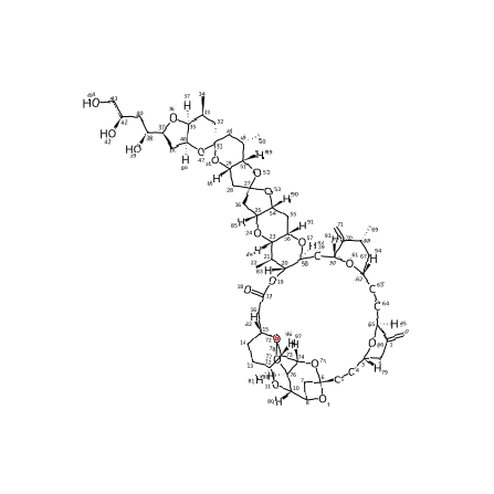 C=C1C[C@@H]2CC[C@]34CC(O3)[C@@H]3O[C@H]5CC[C@H](CC(=O)O[C@@H]6[C@@H](C)[C@@H]7O[C@@H]8C[C@]9(C[C@@H]%10O[C@]%11(C[C@H](C)[C@@H]%12O[C@H]([C@@H](O)C[C@@H](O)CO)C[C@@H]%12O%11)C[C@H](C)[C@@H]%10O9)O[C@@H]8C[C@@H]7O[C@H]6C[C@H]6O[C@@H](CC[C@@H]1O2)C[C@@H](C)C6=C)O[C@@H]5[C@H](O4)[C@@H]3OC